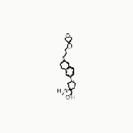 N[C@]1(CO)CC[C@H](c2ccc3c(c2)CC[C@@H](CCCOC2COC2)C3)C1